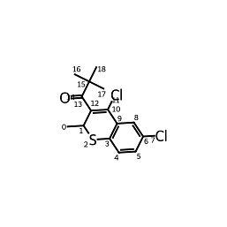 CC1Sc2ccc(Cl)cc2C(Cl)=C1C(=O)C(C)(C)C